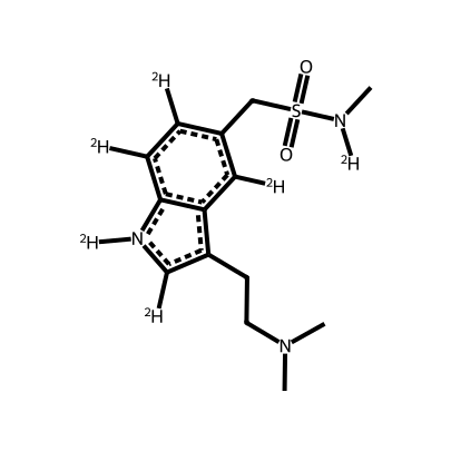 [2H]c1c(CS(=O)(=O)N([2H])C)c([2H])c2c(CCN(C)C)c([2H])n([2H])c2c1[2H]